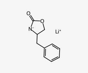 O=C1[N-]C(Cc2ccccc2)CO1.[Li+]